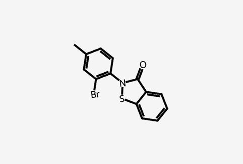 Cc1ccc(-n2sc3ccccc3c2=O)c(Br)c1